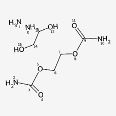 N.N.NC(=O)OCCOC(N)=O.OCCO